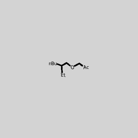 CCCCC(CC)COCC(C)=O